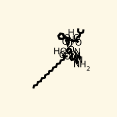 CCCCCCCCCCCCCCCCCC(=O)O[C@@H]1[C@H](O)[C@@H](COP(=O)(N[C@H](C)C(=O)OCC(CC)CC)Oc2ccccc2)O[C@@]1(C#N)c1ccc2c(N)ncnn12